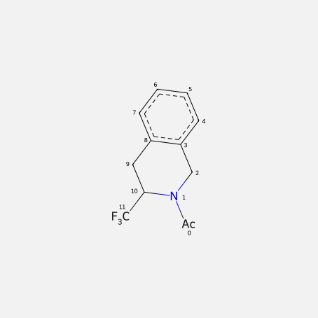 CC(=O)N1Cc2ccccc2CC1C(F)(F)F